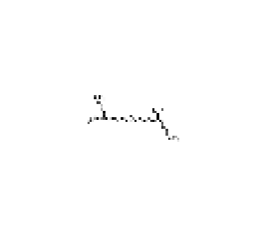 CCCCCC(CCC)CCCCCOCCCCCC(CCC)CCCCC